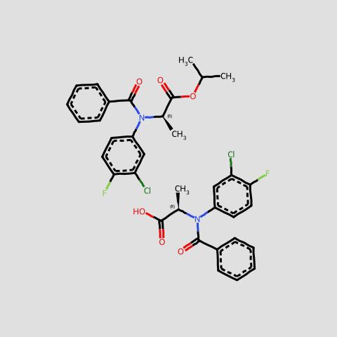 CC(C)OC(=O)[C@@H](C)N(C(=O)c1ccccc1)c1ccc(F)c(Cl)c1.C[C@H](C(=O)O)N(C(=O)c1ccccc1)c1ccc(F)c(Cl)c1